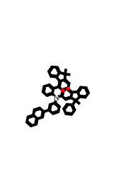 CC1(C)c2ccccc2-c2c(-c3ccccc3N(c3cccc(-c4ccc5ccccc5c4)c3)c3ccc4c(c3)C(C)(c3ccccc3)c3ccccc3-4)cccc21